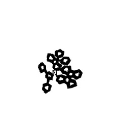 c1ccc(-c2cc(-c3ccccc3)cc(N(c3ccc4c(c3)-c3ccccc3C4(c3ccccc3)c3ccccc3)c3ccc4c(c3)C3(c5ccccc5-c5ccccc53)c3ccccc3-4)c2)cc1